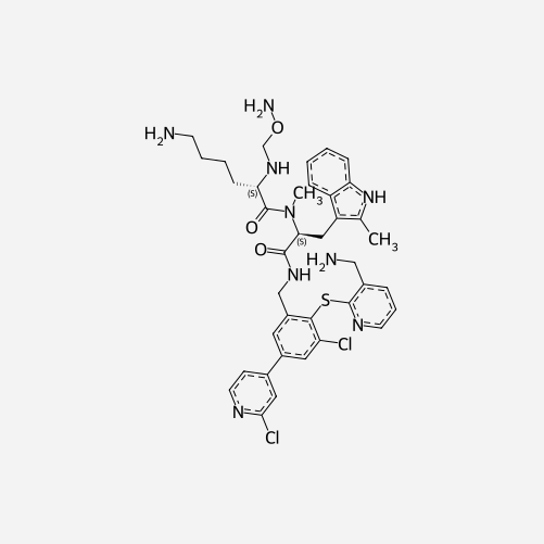 Cc1[nH]c2ccccc2c1C[C@@H](C(=O)NCc1cc(-c2ccnc(Cl)c2)cc(Cl)c1Sc1ncccc1CN)N(C)C(=O)[C@H](CCCCN)NCON